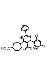 COC(=O)C1=C(C2CCCC(C(=O)O)CC2)NC(c2nccs2)=NC1c1ccc(F)cc1Cl